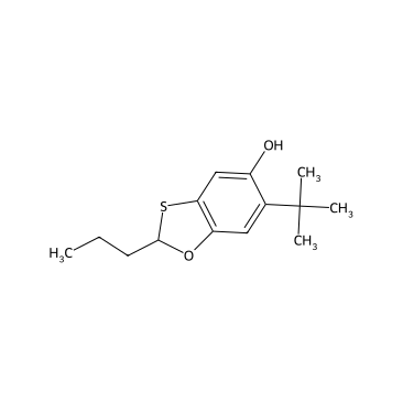 CCCC1Oc2cc(C(C)(C)C)c(O)cc2S1